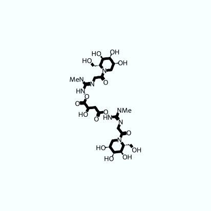 CNC(=NCC(=O)N1C[C@@H](O)[C@@H](O)[C@H](O)[C@H]1CO)NOC(=O)CC(O)C(=O)ONC(=NCC(=O)N1C[C@@H](O)[C@@H](O)[C@H](O)[C@H]1CO)NC